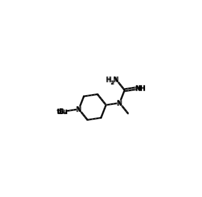 CN(C(=N)N)C1CCN(C(C)(C)C)CC1